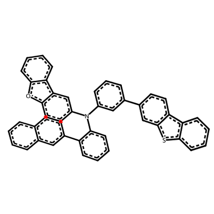 c1cc(-c2ccc3c(c2)sc2ccccc23)cc(N(c2ccc3oc4ccccc4c3c2)c2ccccc2-c2ccc3ccccc3c2)c1